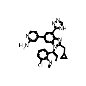 C=Nc1c(Cl)cccc1/C(=C\C)n1c(CC2CC2)nc2c(-c3nnc[nH]3)cc(-c3ccnc(N)c3)cc21